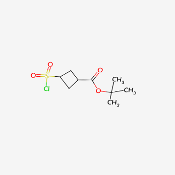 CC(C)(C)OC(=O)C1CC(S(=O)(=O)Cl)C1